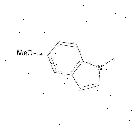 COc1ccc2c(ccn2C)c1